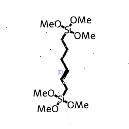 CO[Si](C/C=C/CCC[Si](OC)(OC)OC)(OC)OC